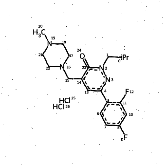 CC(C)Cn1nc(-c2ccc(F)cc2F)cc(CN2CCN(C)CC2)c1=O.Cl.Cl